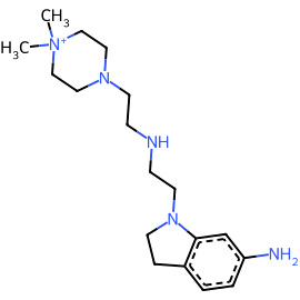 C[N+]1(C)CCN(CCNCCN2CCc3ccc(N)cc32)CC1